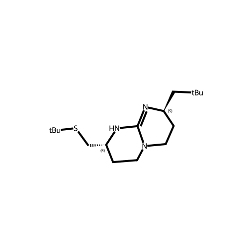 CC(C)(C)C[C@H]1CCN2CC[C@H](CSC(C)(C)C)NC2=N1